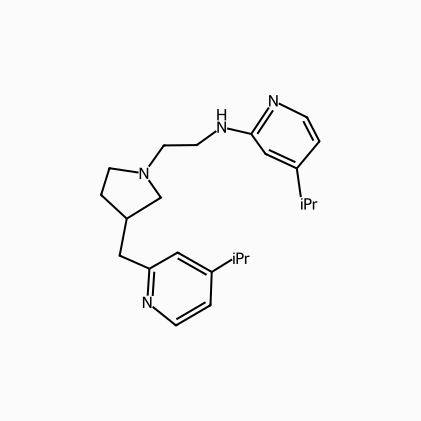 CC(C)c1ccnc(CC2CCN(CCNc3cc(C(C)C)ccn3)C2)c1